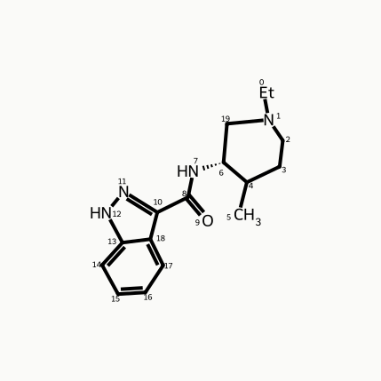 CCN1CCC(C)[C@H](NC(=O)c2n[nH]c3ccccc23)C1